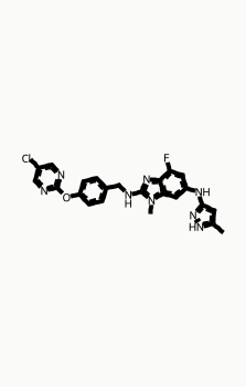 Cc1cc(Nc2cc(F)c3nc(NCc4ccc(Oc5ncc(Cl)cn5)cc4)n(C)c3c2)n[nH]1